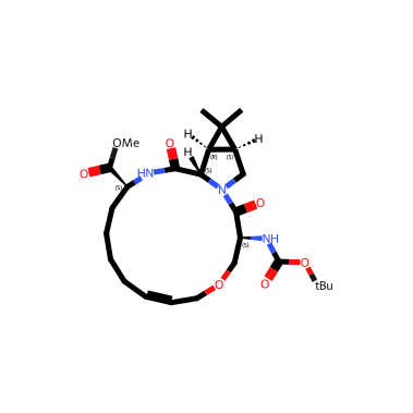 COC(=O)[C@@H]1CCCCC=CCOC[C@H](NC(=O)OC(C)(C)C)C(=O)N2C[C@H]3[C@@H]([C@H]2C(=O)N1)C3(C)C